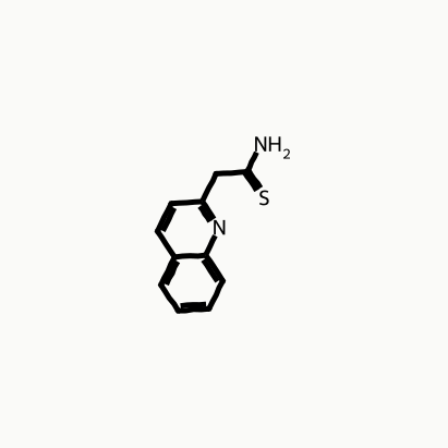 NC(=S)Cc1ccc2ccccc2n1